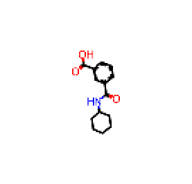 O=C(O)c1cccc(C(=O)NC2CCCCC2)c1